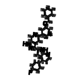 Fc1ccc(-c2ccnc3[nH]c(-c4n[nH]c5cnc(-c6cncc(OCc7ccccc7)c6)cc45)cc23)cc1